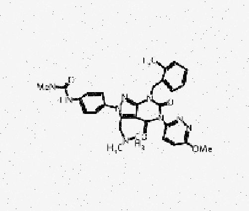 CNC(=O)Nc1ccc(-n2nc3c(c2CN(C)C)c(=O)n(-c2ccc(OC)nn2)c(=O)n3Cc2ccccc2C(F)(F)F)cc1